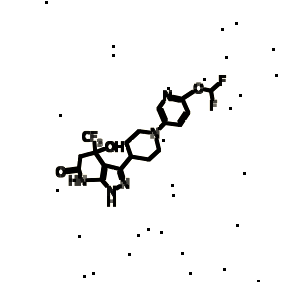 O=C1CC(O)(C(F)(F)F)c2c(C3CCN(c4ccc(OC(F)F)nc4)CC3)n[nH]c2N1